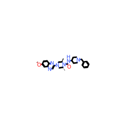 COc1ccc2nc(N3C[C@@H](C)N(C(=O)NC4CCN(Cc5ccccc5)CC4)[C@H](C)C3)cnc2c1